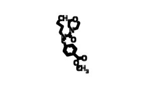 CCCCN(Cc1ccc(C(=O)OC)cc1)C(=O)N1CCOCC1